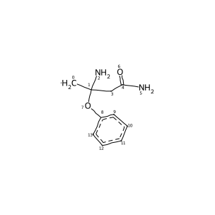 [CH2]C(N)(CC(N)=O)Oc1ccccc1